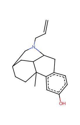 C=CCN1CC2CCC3(C)c4cc(O)ccc4CC1C3C2